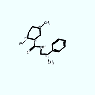 CC(C)[C@@H]1CC[C@@H](C)C[C@H]1C(=O)NC[C@@H](C)c1ccccc1